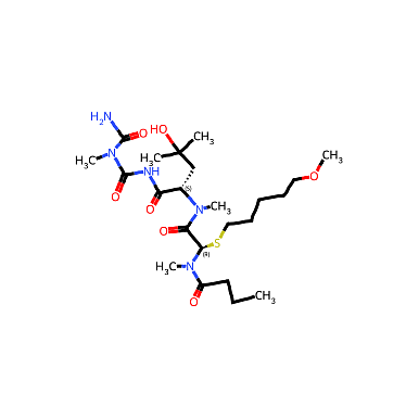 CCCC(=O)N(C)[C@H](SCCCCCOC)C(=O)N(C)[C@@H](CC(C)(C)O)C(=O)NC(=O)N(C)C(N)=O